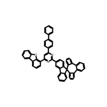 c1ccc(-c2ccc(-c3cc(-c4cccc5c4oc4ccccc45)nc(-c4ccc5c(c4)-c4ccccc4C54c5ccccc5-c5ccccc5-c5ccccc54)n3)cc2)cc1